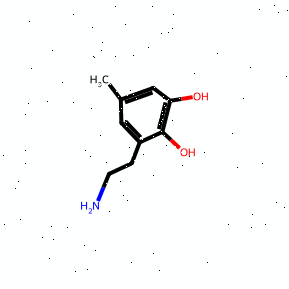 Cc1cc(O)c(O)c(CCN)c1